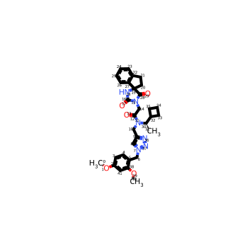 COc1ccc(Cn2cc(CN(C(=O)CN3C(=O)NC4(CCc5ccccc54)C3=O)[C@@H](C)C3CCC3)nn2)c(OC)c1